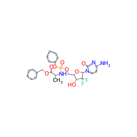 CC(NP(=O)(OCC1OC(n2ccc(N)nc2=O)C(F)(F)C1O)Oc1ccccc1)C(=O)OCc1ccccc1